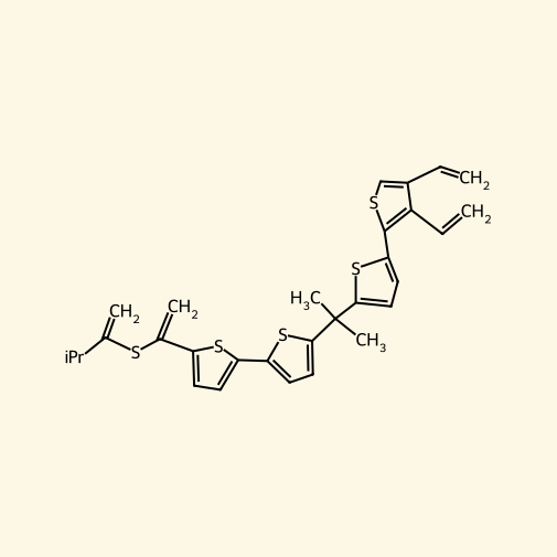 C=Cc1csc(-c2ccc(C(C)(C)c3ccc(-c4ccc(C(=C)SC(=C)C(C)C)s4)s3)s2)c1C=C